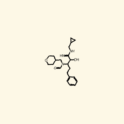 N=C(NCC1CC1)C(O)C(CCc1ccccc1)N(C=O)CC1CCOCC1